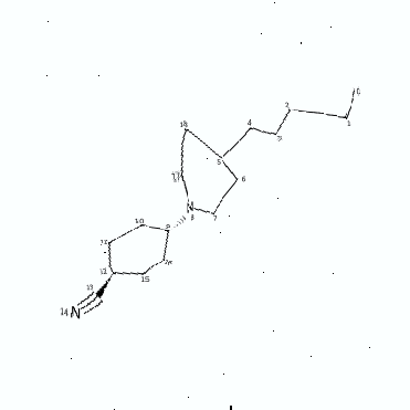 CCCCCC1CCN([C@H]2CC[C@H](C#N)CC2)CC1